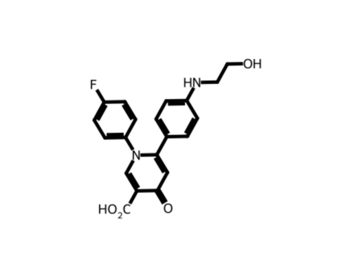 O=C(O)c1cn(-c2ccc(F)cc2)c(-c2ccc(NCCO)cc2)cc1=O